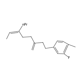 C=C(CC/C(=C\C)CCC)CCc1ccc(C)c(F)c1